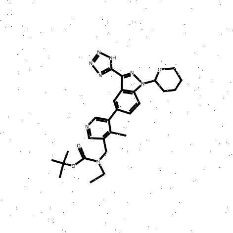 CCN(Cc1cncc(-c2ccc3c(c2)c(-c2nnn[nH]2)nn3C2CCCCO2)c1C)C(=O)OC(C)(C)C